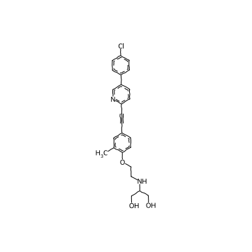 Cc1cc(C#Cc2ccc(-c3ccc(Cl)cc3)cn2)ccc1OCCNC(CO)CO